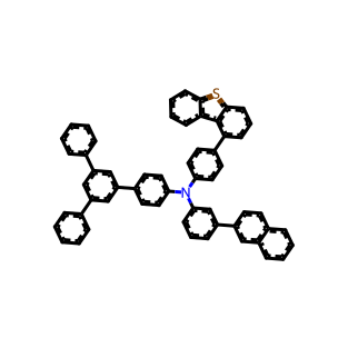 c1ccc(-c2cc(-c3ccccc3)cc(-c3ccc(N(c4ccc(-c5cccc6sc7ccccc7c56)cc4)c4cccc(-c5ccc6ccccc6c5)c4)cc3)c2)cc1